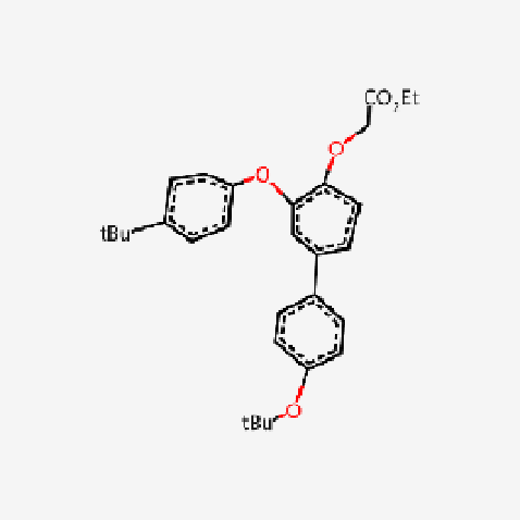 CCOC(=O)COc1ccc(-c2ccc(OC(C)(C)C)cc2)cc1Oc1ccc(C(C)(C)C)cc1